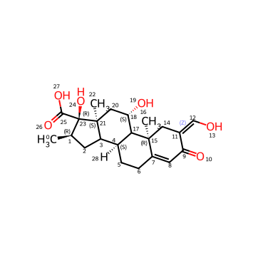 C[C@@H]1CC2[C@@H]3CCC4=CC(=O)/C(=C\O)C[C@]4(C)C3[C@@H](O)C[C@]2(C)[C@@]1(O)C(=O)O